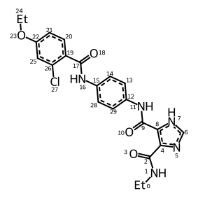 CCNC(=O)c1nc[nH]c1C(=O)Nc1ccc(NC(=O)c2ccc(OCC)cc2Cl)cc1